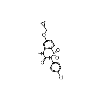 CN1C(=O)N(c2ccc(Cl)cc2)S(=O)(=O)c2ccc(OCC3CC3)cc21